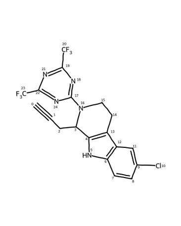 C#CCC1c2[nH]c3ccc(Cl)cc3c2CCN1c1nc(C(F)(F)F)nc(C(F)(F)F)n1